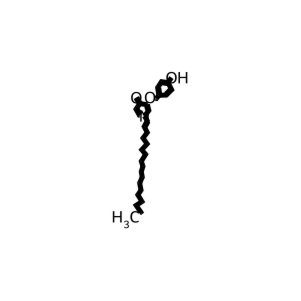 CCCCCCCCCCCCCCCCC=Cn1ccc(=O)c(OCc2ccc(O)cc2)c1